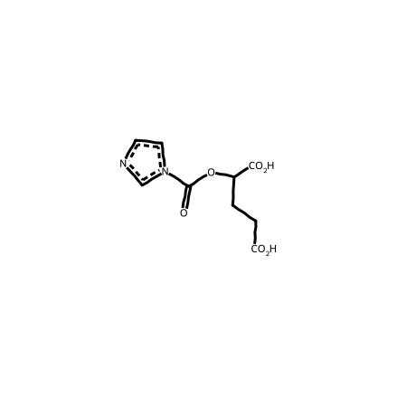 O=C(O)CCC(OC(=O)n1ccnc1)C(=O)O